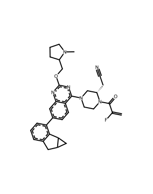 C=C(F)C(=O)N1CCN(c2nc(OCC3CCCN3C)nc3cc(-c4cccc5c4C4CC4C5)ccc23)C[C@@H]1CC#N